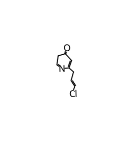 O=C1C=C(CC=CCl)N=CC1